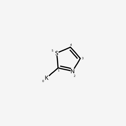 [K][c]1nccs1